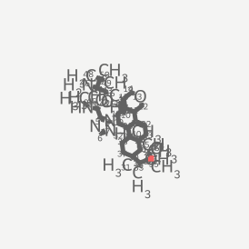 CNC(=O)c1ncnn1[C@@H]1C[C@@]23COC[C@](C)([C@@H]2CC[C@H]2C3=CC[C@@]3(C)[C@H](C(=O)O)[C@@](C)([C@H](C)C(C)C)CC[C@]23C)[C@H]1OC[C@](C)(N)C(C)(C)C